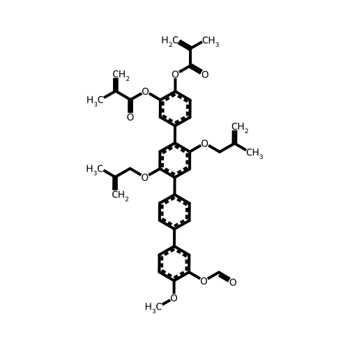 C=C(C)COc1cc(-c2ccc(OC(=O)C(=C)C)c(OC(=O)C(=C)C)c2)c(OCC(=C)C)cc1-c1ccc(-c2ccc(OC)c(OC=O)c2)cc1